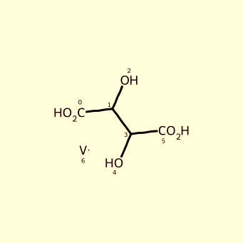 O=C(O)C(O)C(O)C(=O)O.[V]